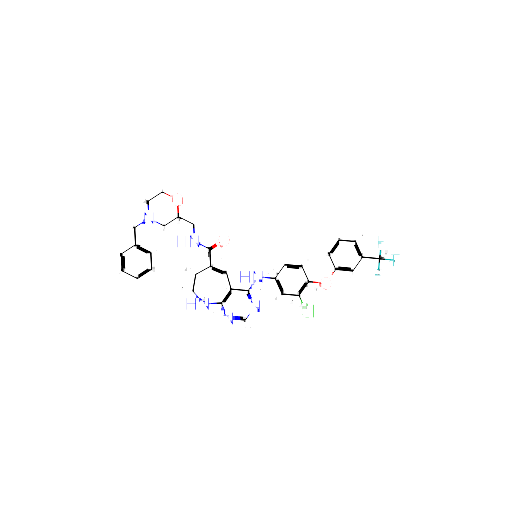 O=C(NCC1CN(Cc2ccccc2)CCO1)C1=Cc2c(ncnc2Nc2ccc(Oc3cccc(C(F)(F)F)c3)c(Cl)c2)NCC1